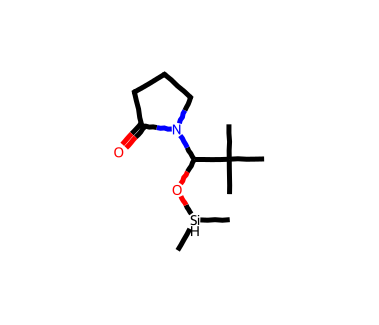 C[SiH](C)OC(N1CCCC1=O)C(C)(C)C